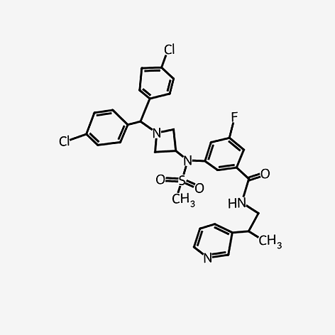 CC(CNC(=O)c1cc(F)cc(N(C2CN(C(c3ccc(Cl)cc3)c3ccc(Cl)cc3)C2)S(C)(=O)=O)c1)c1cccnc1